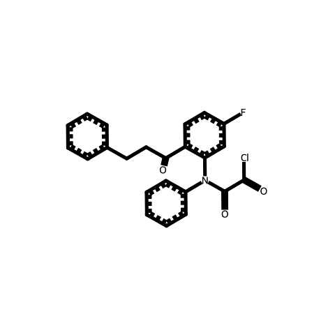 O=C(Cl)C(=O)N(c1ccccc1)c1cc(F)ccc1C(=O)CCc1ccccc1